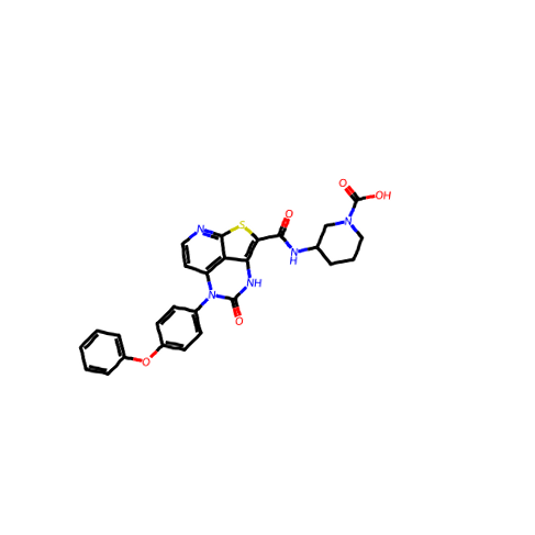 O=C(NC1CCCN(C(=O)O)C1)c1sc2nccc3c2c1NC(=O)N3c1ccc(Oc2ccccc2)cc1